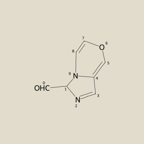 O=CC1N=CC2=COC=CN21